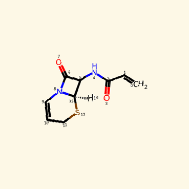 C=CC(=O)NC1C(=O)N2C=CCS[C@H]12